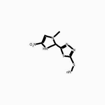 CCCSc1nnc(C2NC([N+](=O)[O-])=CN2C)s1